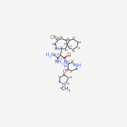 CN1CCC(OC2CCNCC2NC(=O)C(C(N)N)C2CC3(CCCCCC3)CCC(Cl)/C=N\2)CC1